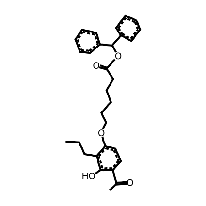 CCCc1c(OCCCCCC(=O)OC(c2ccccc2)c2ccccc2)ccc(C(C)=O)c1O